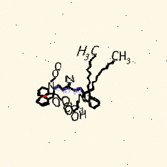 CCCCCCCCCCC1(CCCCCCCCC)C(/C=C/C(C#N)=C/C=C2/N(CCOC=O)c3ccccc3C2(CC(=O)OC)Cc2ccccc2)=[N+](CCC(=O)O)c2ccccc21